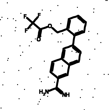 N=C(N)c1ccc2cc(-c3ccccc3COC(=O)C(F)(F)F)ccc2c1